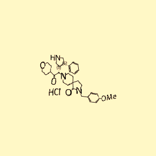 COc1ccc(CN2CCC3(CCN(C(C(=O)C4CCOCC4)[C@@H]4CNC[C@@H]4c4ccccc4)CC3)C2=O)cc1.Cl